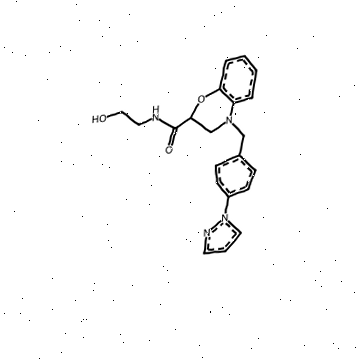 O=C(NCCO)C1CN(Cc2ccc(-n3cccn3)cc2)c2ccccc2O1